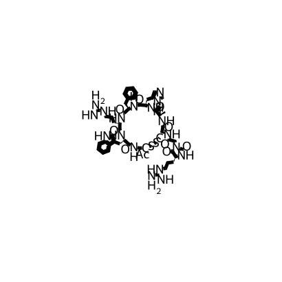 CC(=O)[C@@H]1CSSC[C@H](NC(=O)CN2C(=O)N[C@H](CCCNC(=N)N)C2=O)C(=O)N[C@H](C)C(=O)N[C@@H](Cc2cnc[nH]2)C(=O)N[C@H](Cc2ccccc2)C(=O)N[C@@H](CCCNC(=N)N)C(=O)N[C@@H](Cc2c[nH]c3ccccc23)C(=O)N1